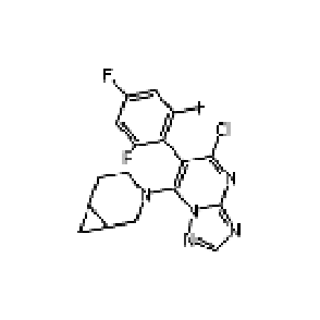 Fc1cc(F)c(-c2c(Cl)nc3ncnn3c2N2CCC3CC3C2)c(F)c1